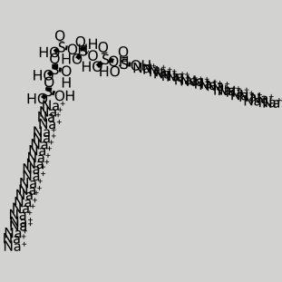 O=S(O)O.O=S(O)O.O=S(O)O.O=S(O)O.O=S(O)O.O=S(O)O.[Na+].[Na+].[Na+].[Na+].[Na+].[Na+].[Na+].[Na+].[Na+].[Na+].[Na+].[Na+].[Na+].[Na+].[Na+].[Na+].[Na+].[Na+].[Na+].[Na+].[Na+].[Na+].[Na+].[Na+].[Na+].[Na+].[Na+].[Na+].[Na+].[Na+].[Na+].[Na+].[Na+].[Na+].[Na+].[Na+].[Na+].[Na+].[Na+].[Na+].[Na+].[Na+].[Na+].[Na+]